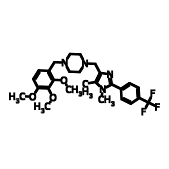 COc1ccc(CN2CCN(Cc3nc(-c4ccc(C(F)(F)F)cc4)n(C)c3C)CC2)c(OC)c1OC